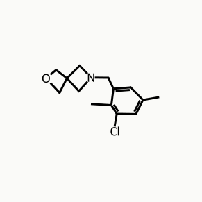 Cc1cc(Cl)c(C)c(CN2CC3(COC3)C2)c1